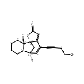 O=C1C=C2C(C#CCCCl)=C[C@@H]3C[C@@]2(O1)[C@H]1CCCCN31